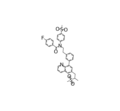 CC(Cc1cc(-c2cccc(CCN(C(=O)c3ccc(F)cc3)c3ccc(S(C)(=O)=O)cc3)c2)c2ncccc2c1)S(C)(=O)=O